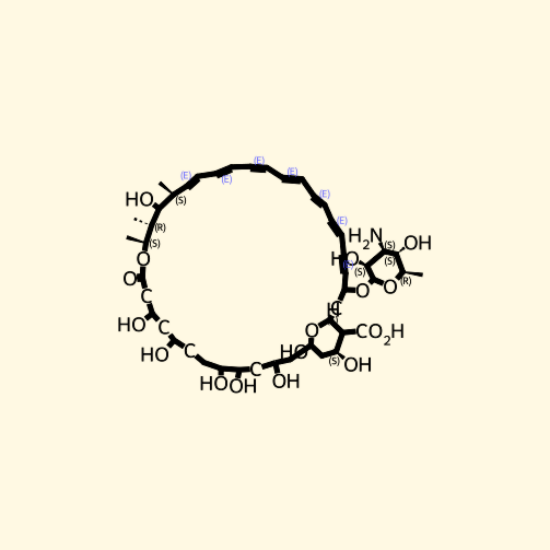 C[C@@H]1OC(=O)CC(O)CC(O)CCC(O)C(O)CC(O)CC2(O)C[C@H](O)C(C(=O)O)[C@H](CC(OC3O[C@H](C)[C@@H](O)[C@H](N)[C@@H]3O)/C=C/C=C/C=C/C=C/C=C/C=C/C=C/[C@H](C)C(O)[C@H]1C)O2